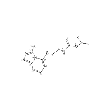 CC(C)OC(=O)NCCSc1cccc2ncc(Br)n12